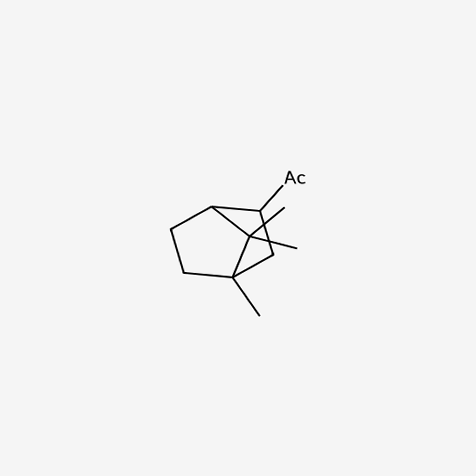 CC(=O)C1CC2(C)CCC1C2(C)C